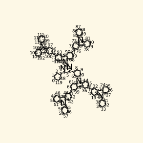 c1ccc(-c2cc(-c3cccc(-n4c5ccc(-c6ccc7c(c6)c6ccccc6n7-c6ccccc6)cc5c5cc(-c6ccc7c(c6)c6ccccc6n7-c6ccccc6)ccc54)c3)nc(-n3c4ccc(-c5ccc6c(c5)c5ccccc5n6-c5ccccc5)cc4c4cc(-c5ccc6c(c5)c5ccccc5n6-c5ccccc5)ccc43)n2)cc1